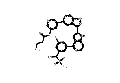 CCCC(=O)Nc1cncc(-c2cc3c(-c4cc5c(-c6cc(F)cc(C(N)S(C)(=O)=O)c6)nccc5[nH]4)n[nH]c3cn2)c1